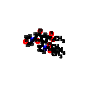 COC(=O)c1cc([C@H]2CCCN2C(=O)OC(C)(C)C)c2oc(N3CCOCC3)cc(=O)c2c1